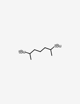 CC(CCCC(C)C(C)(C)C)C(C)(C)C